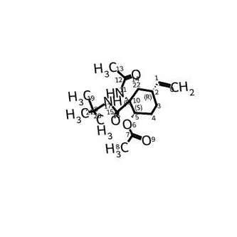 C=C[C@@H]1CC[C@H](OC(C)=O)[C@@](NC(C)=O)(C(=O)NC(C)(C)C)C1